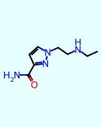 CCNCCn1ccc(C(N)=O)n1